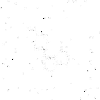 CCC(C)c1ccc(-c2nccc3ccccc23)cc1